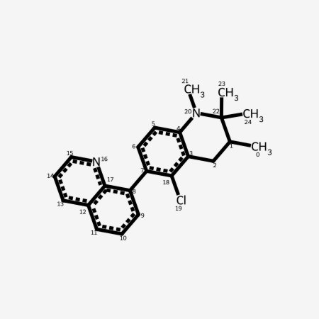 CC1Cc2c(ccc(-c3cccc4cccnc34)c2Cl)N(C)C1(C)C